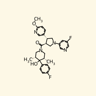 COc1ccc([C@@H]2CN(c3cncc(F)c3)C[C@H]2C(=O)N2C[C@@H](C)C(O)(c3ccc(F)cc3)[C@@H](C)C2)cn1